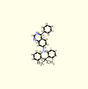 CC1(C)c2ccccc2N(c2ccc3c(-c4ccccc4)ncnc3c2)c2ccccc21